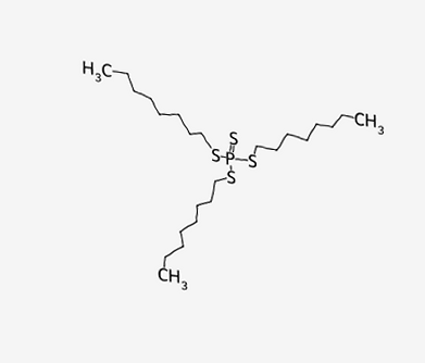 CCCCCCCCSP(=S)(SCCCCCCCC)SCCCCCCCC